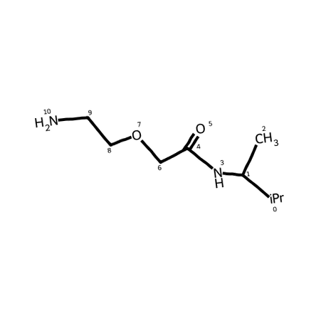 CC(C)C(C)NC(=O)COCCN